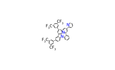 FC(F)(F)c1cc(-c2ccc3c(c2)c2cc(-c4cc(C(F)(F)F)cc(C(F)(F)F)c4)ccc2n3-c2ccccc2-c2cc(-c3ccccn3)ccn2)cc(C(F)(F)F)c1